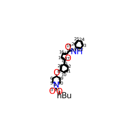 CCCCOC(=O)N1CCC(Oc2cccc(-c3ccc(C(=O)Nc4ccccc4)o3)c2)CC1